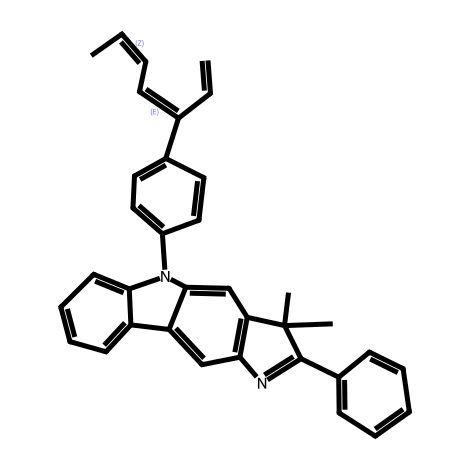 C=C/C(=C\C=C/C)c1ccc(-n2c3ccccc3c3cc4c(cc32)C(C)(C)C(c2ccccc2)=N4)cc1